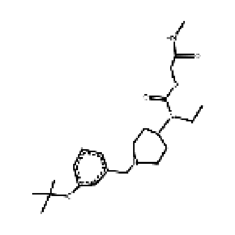 CCN(C(=O)OCC(=O)NC)C1CCN(Cc2cccc(OC(C)(C)C)c2)CC1